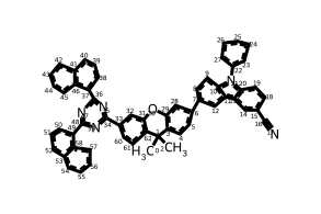 CC1(C)c2ccc(-c3ccc4c(c3)c3cc(C#N)ccc3n4-c3ccccc3)cc2Oc2cc(-c3nc(-c4cccc5ccccc45)nc(-c4cccc5ccccc45)n3)ccc21